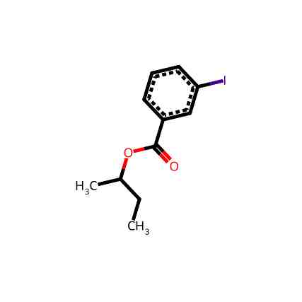 CCC(C)OC(=O)c1cccc(I)c1